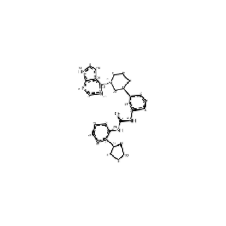 O=C(Nc1cccc(C2CCCN(c3ncnc4[nH]ccc34)C2)c1)Nc1ccccc1C1CCCC1